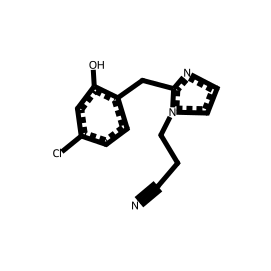 N#CCCn1ccnc1Cc1ccc(Cl)cc1O